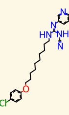 N#CN/C(=N\c1cccnc1)NCCCCCCCCCCOc1ccc(Cl)cc1